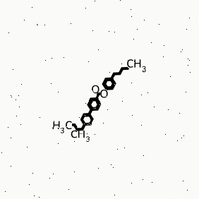 CCCCCc1ccc(OC(=O)c2ccc(C3=CCC(CC(C)CC)CC3)cc2)cc1